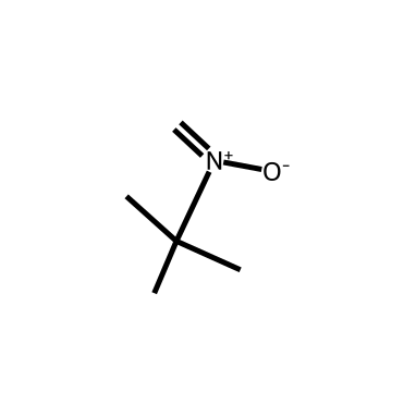 C=[N+]([O-])C(C)(C)C